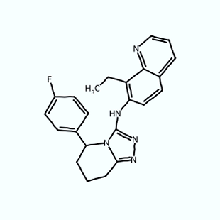 CCc1c(Nc2nnc3n2C(c2ccc(F)cc2)CCC3)ccc2cccnc12